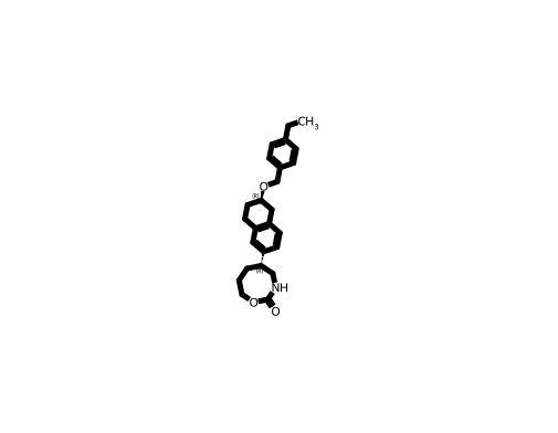 CCc1ccc(CO[C@@H]2CCc3cc([C@H]4CCCOC(=O)NC4)ccc3C2)cc1